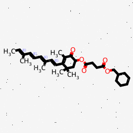 C/C=C(C)/C=C/C=C(C)/C=C/C1=C(C)C(=O)C(OC(=O)CCC(=O)OCC2CCCCC2)CC1(C)C